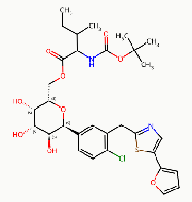 CCC(C)C(NC(=O)OC(C)(C)C)C(=O)OC[C@@H]1O[C@@H](c2ccc(Cl)c(Cc3ncc(-c4ccco4)s3)c2)[C@@H](O)[C@H](O)[C@@H]1O